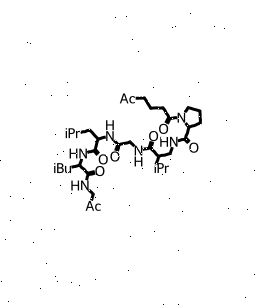 CCC(C)C(NC(=O)C(CC(C)C)NC(=O)CNC(=O)C(CNC(=O)C1CCCN1C(=O)CCCC(C)=O)C(C)C)C(=O)NCC(C)=O